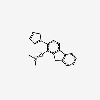 C[Si](C)=[Zr][c]1c(C2=CC=CC2)ccc2c1Cc1ccccc1-2